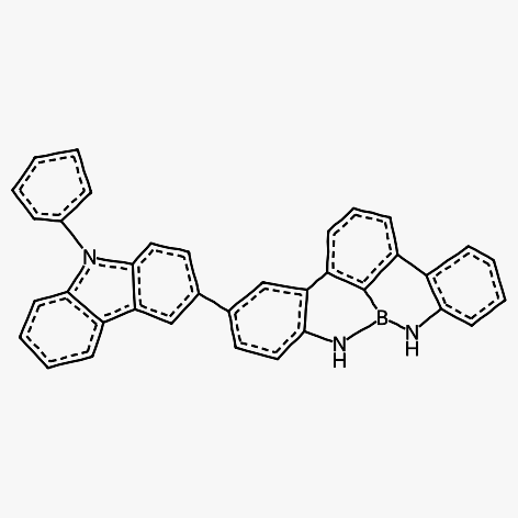 c1ccc(-n2c3ccccc3c3cc(-c4ccc5c(c4)-c4cccc6c4B(Nc4ccccc4-6)N5)ccc32)cc1